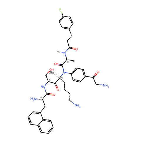 C[C@@H](C(=O)N(c1ccc(C(=O)CN)cc1)[C@@]([C]=O)(CCCCN)C(=O)[C@H](CO)NC(=O)[C@@H](N)Cc1cccc2ccccc12)N(C)C(=O)CCc1ccc(F)cc1